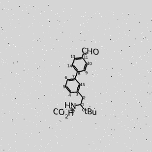 CC(C)(C)C(Cc1cccc(-c2ccc(C=O)cc2)c1)NC(=O)O